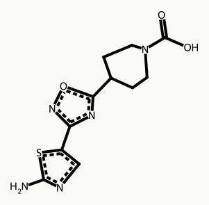 Nc1ncc(-c2noc(C3CCN(C(=O)O)CC3)n2)s1